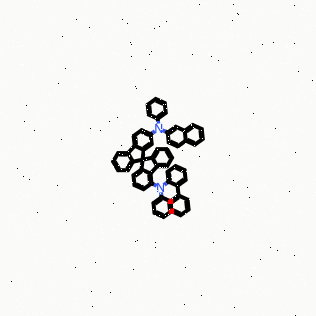 c1ccc(-c2ccccc2N(c2ccccc2)c2cccc3c2-c2ccccc2C32c3ccccc3-c3ccc(N(c4ccccc4)c4ccc5ccccc5c4)cc32)cc1